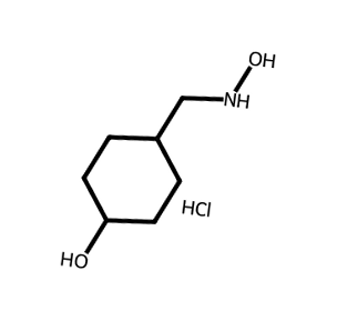 Cl.ONCC1CCC(O)CC1